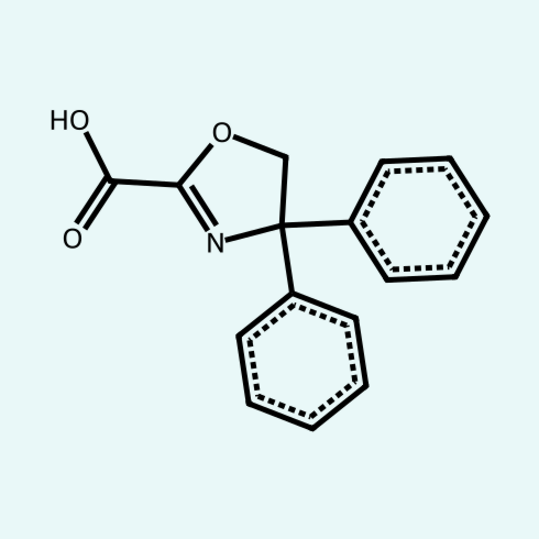 O=C(O)C1=NC(c2ccccc2)(c2ccccc2)CO1